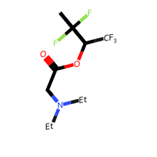 CCN(CC)CC(=O)OC(C(C)(F)F)C(F)(F)F